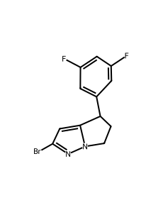 Fc1cc(F)cc(C2CCn3nc(Br)cc32)c1